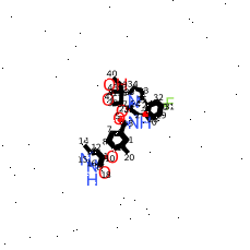 CC[C@@H](NC(=O)c1ccc(Oc2cc(C)n[nH]c2=O)c(C)c1)C(=O)N1[C@H](c2cccc(F)c2)CC[C@@H]1C(CC)(CC)C(=O)O